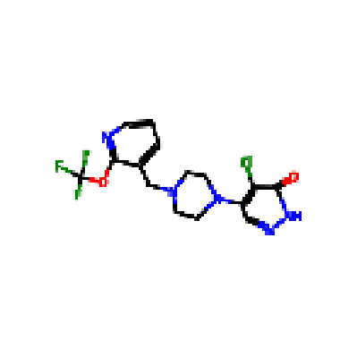 O=c1[nH]ncc(N2CCN(Cc3cccnc3OC(F)(F)F)CC2)c1Cl